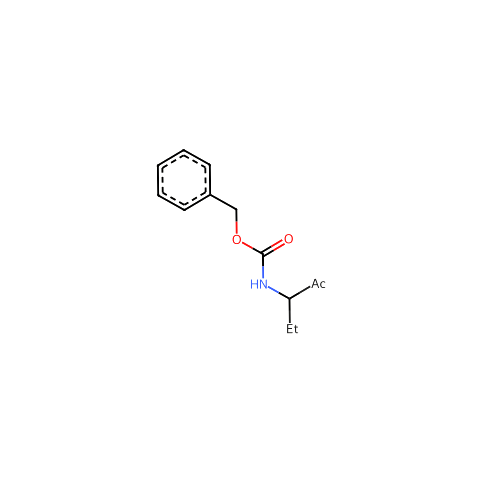 CCC(NC(=O)OCc1ccccc1)C(C)=O